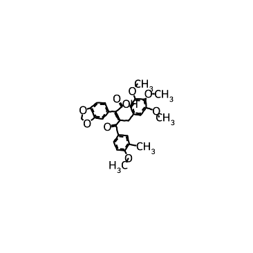 COc1ccc(C(=O)C(Cc2cc(OC)c(OC)c(OC)c2)=C(C(=O)O)c2ccc3c(c2)OCO3)cc1C